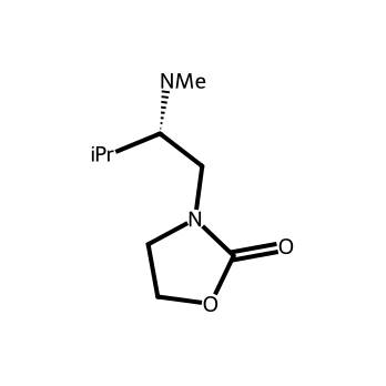 CN[C@H](CN1CCOC1=O)C(C)C